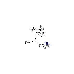 CC.CCOC(=O)C(CC)C(=O)OCC.N